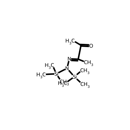 CC(=O)C(C)=NN([Si](C)(C)C)[Si](C)(C)C